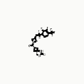 O=C1N[C@]2(CO1)C[C@H](C(=O)N1CC(CC(F)(F)C3C=CC(C(F)(F)F)=C(F)C3F)C1)C2